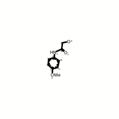 COc1ccc(NC(=O)C[O])cc1